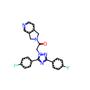 O=C(Cn1nc(-c2ccc(F)cc2)nc1-c1ccc(F)cc1)N1Cc2ccncc2C1